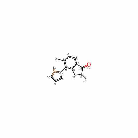 Cc1ccc2c(c1-c1cccs1)CC(C)C2=O